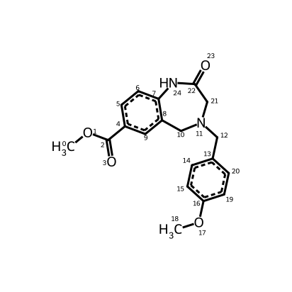 COC(=O)c1ccc2c(c1)CN(Cc1ccc(OC)cc1)CC(=O)N2